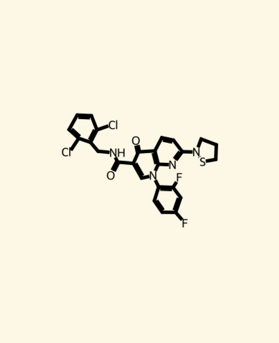 O=C(NCc1c(Cl)cccc1Cl)c1cn(-c2ccc(F)cc2F)c2nc(N3CCCS3)ccc2c1=O